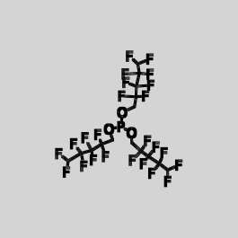 FC(F)C(F)(F)C(F)(F)C(F)(F)COP(OCC(F)(F)C(F)(F)C(F)(F)C(F)F)OCC(F)(F)C(F)(F)C(F)(F)C(F)F